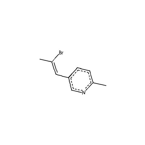 CC(Br)=Cc1ccc(C)nc1